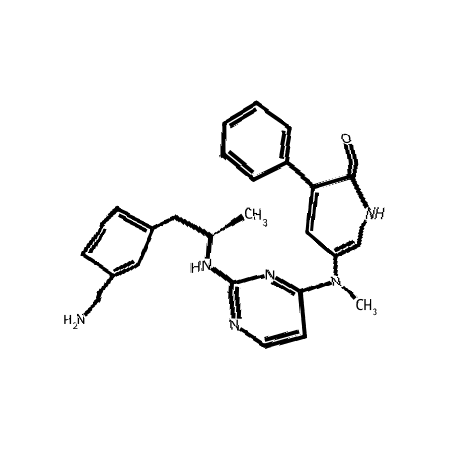 C[C@H](Cc1cccc(CN)c1)Nc1nccc(N(C)c2c[nH]c(=O)c(-c3ccccc3)c2)n1